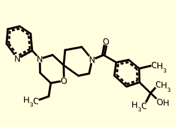 CCC1CN(c2ccccn2)CC2(CCN(C(=O)c3ccc(C(C)(C)O)c(C)c3)CC2)O1